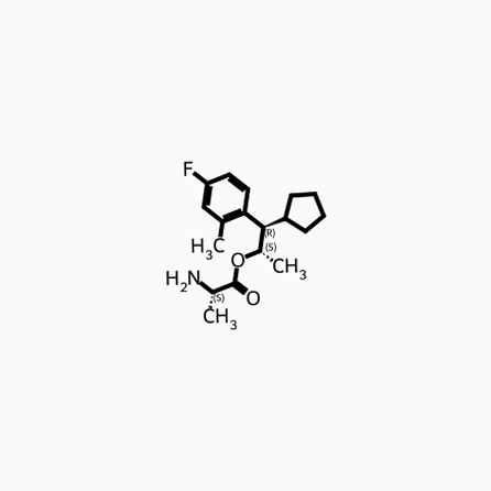 Cc1cc(F)ccc1[C@@H](C1CCCC1)[C@H](C)OC(=O)[C@H](C)N